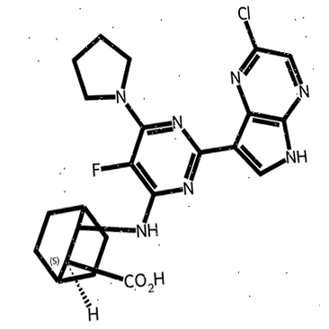 O=C(O)[C@H]1C2CCC(CC2)C1Nc1nc(-c2c[nH]c3ncc(Cl)nc23)nc(N2CCCC2)c1F